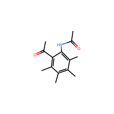 CC(=O)Nc1c(C)c(C)c(C)c(C)c1C(C)=O